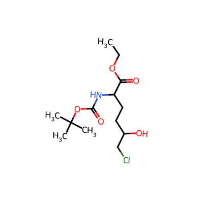 CCOC(=O)C(CCC(O)CCl)NC(=O)OC(C)(C)C